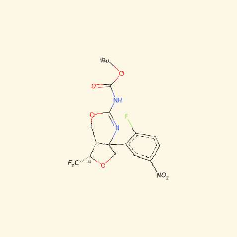 CC(C)(C)OC(=O)NC1=NC2(c3cc([N+](=O)[O-])ccc3F)CO[C@H](C(F)(F)F)C2CO1